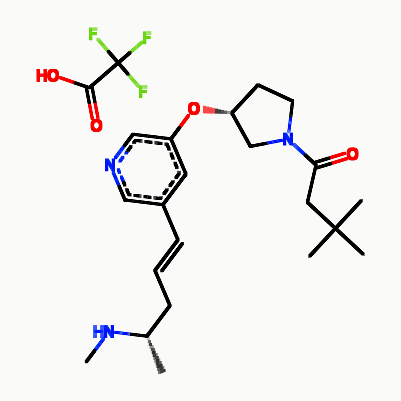 CN[C@@H](C)CC=Cc1cncc(O[C@@H]2CCN(C(=O)CC(C)(C)C)C2)c1.O=C(O)C(F)(F)F